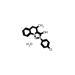 CC1Cc2ccccc2N2[N]N(c3ccc(Cl)cc3)C(O)=C12.O